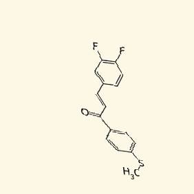 CSc1ccc(C(=O)/C=C/c2ccc(F)c(F)c2)cc1